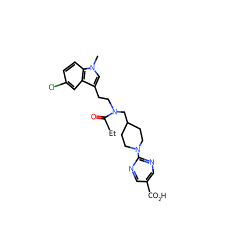 CCC(=O)N(CCc1cn(C)c2ccc(Cl)cc12)CC1CCN(c2ncc(C(=O)O)cn2)CC1